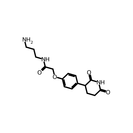 NCCCNC(=O)COc1ccc(C2CCC(=O)NC2=O)cc1